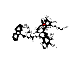 C=CCN1[C@@H]2c3c(cc(C)c(OC)c3OCOCCOC)C[C@H]1[C@H](C#N)N1C2CC2(O)C(=O)C(C)=C3OCOC3=C2[C@@H]1COC(=O)[C@@H](CSCC1c2ccccc2-c2ccccc21)NC(=O)OC(C)(C)C